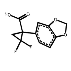 O=C(O)C1(c2ccc3c(c2)OCO3)CC1(F)F